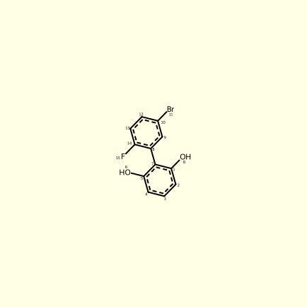 Oc1cccc(O)c1-c1cc(Br)ccc1F